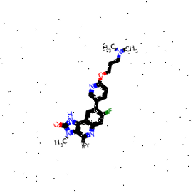 CC(C)c1nc2cc(F)c(-c3ccc(OCCCN(C)C)nc3)cc2c2[nH]c(=O)n(C)c12